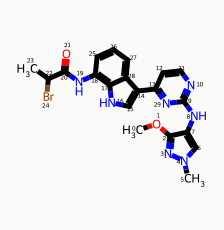 COc1nn(C)cc1Nc1nccc(-c2c[nH]c3c(NC(=O)C(C)Br)cccc23)n1